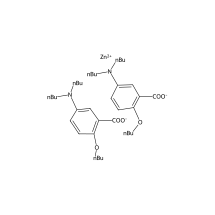 CCCCOc1ccc(N(CCCC)CCCC)cc1C(=O)[O-].CCCCOc1ccc(N(CCCC)CCCC)cc1C(=O)[O-].[Zn+2]